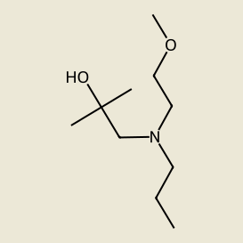 CCCN(CCOC)CC(C)(C)O